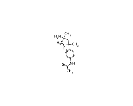 CC(=S)Nc1ccc(C(C)(C)CC(C)(C)N)cc1